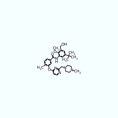 COc1c(CO)cc(C(C)(C)C)cc1NC(=O)c1ccc(C)c(Oc2ccnc(CN3CCN(C)CC3)n2)c1